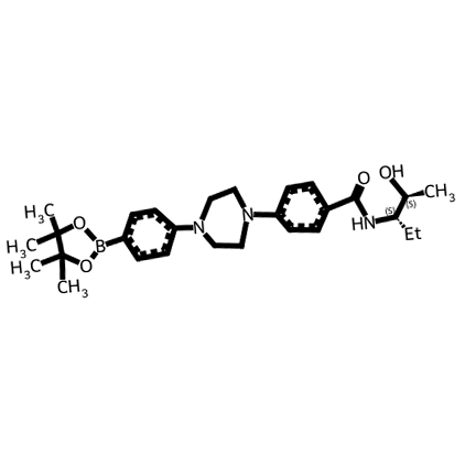 CC[C@H](NC(=O)c1ccc(N2CCN(c3ccc(B4OC(C)(C)C(C)(C)O4)cc3)CC2)cc1)[C@H](C)O